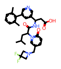 Cc1cccc(C)c1-c1cncc(C(CC(=O)O)NC(=O)C(CC(C)C)n2cc(CN3CC(F)(F)C3)ccc2=O)c1